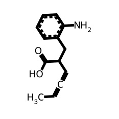 CC=C=CC(Cc1ccccc1N)C(=O)O